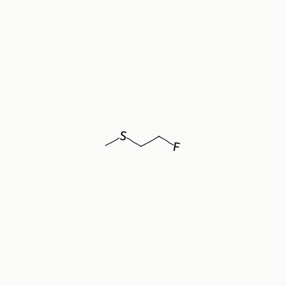 CSCCF